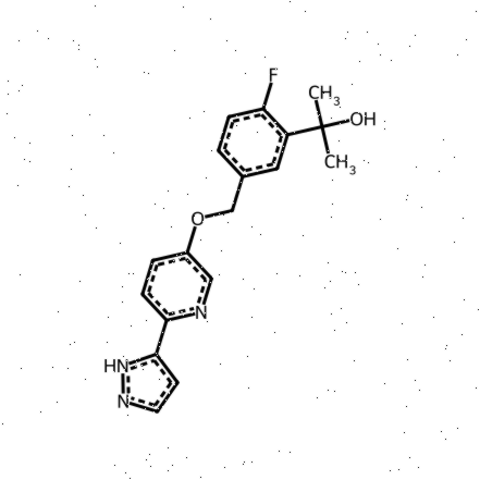 CC(C)(O)c1cc(COc2ccc(-c3ccn[nH]3)nc2)ccc1F